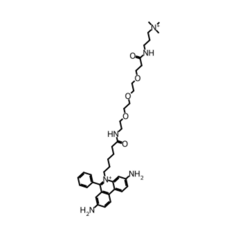 C[N+](C)(C)CCCNC(=O)CCOCCOCCOCCNC(=O)CCCCC[n+]1c(-c2ccccc2)c2cc(N)ccc2c2ccc(N)cc21